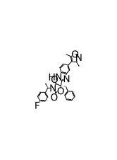 Cc1noc(C)c1-c1ccc2[nH]c([C@@]3(Cc4ccccc4)OC(=O)N([C@H](C)c4ccc(F)cc4)C3=O)nc2c1